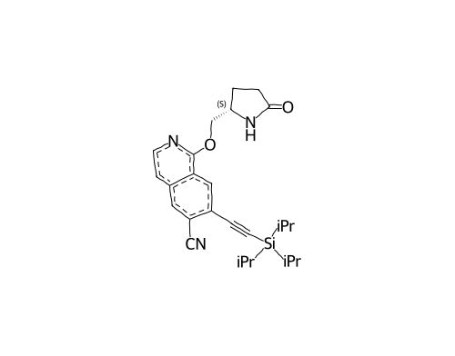 CC(C)[Si](C#Cc1cc2c(OC[C@@H]3CCC(=O)N3)nccc2cc1C#N)(C(C)C)C(C)C